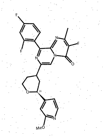 COc1cc([C@@H]2CC(c3cn4c(=O)c(F)c(C)nc4c(-c4ccc(F)cc4F)n3)CCO2)ccn1